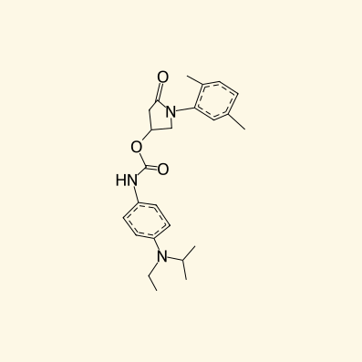 CCN(c1ccc(NC(=O)OC2CC(=O)N(c3cc(C)ccc3C)C2)cc1)C(C)C